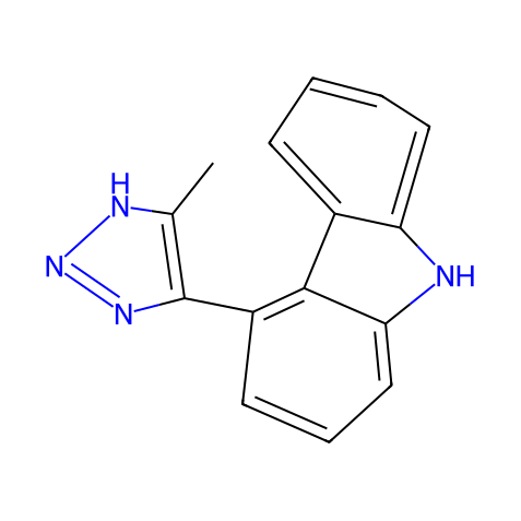 Cc1[nH]nnc1-c1cccc2[nH]c3ccccc3c12